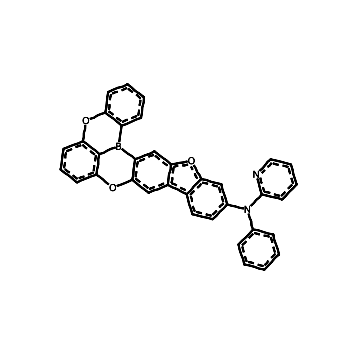 c1ccc(N(c2ccc3c(c2)oc2cc4c(cc23)Oc2cccc3c2B4c2ccccc2O3)c2ccccn2)cc1